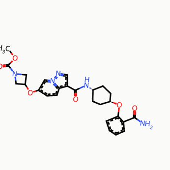 COC(=O)N1CC(Oc2ccc3c(C(=O)N[C@H]4CC[C@H](Oc5ccccc5C(N)=O)CC4)cnn3c2)C1